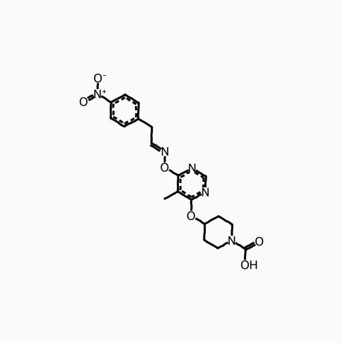 Cc1c(ON=CCc2ccc([N+](=O)[O-])cc2)ncnc1OC1CCN(C(=O)O)CC1